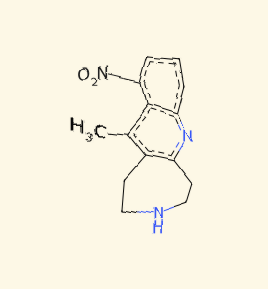 Cc1c2c(nc3cccc([N+](=O)[O-])c13)CCNCC2